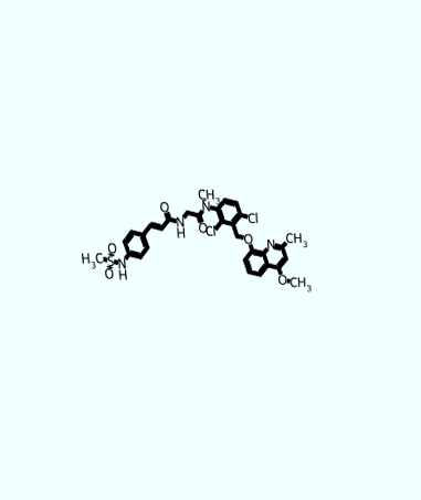 COc1cc(C)nc2c(OCc3c(Cl)ccc(N(C)C(=O)CNC(=O)/C=C/c4ccc(NS(C)(=O)=O)cc4)c3Cl)cccc12